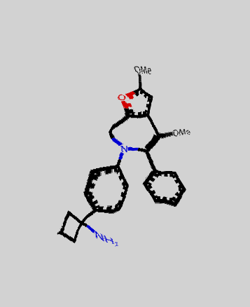 COC1=C(c2ccccc2)N(c2ccc(C3(N)CCC3)cc2)Cc2oc(OC)cc21